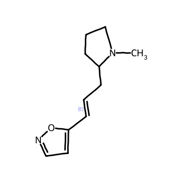 CN1CCCC1C/C=C/c1ccno1